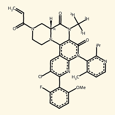 [2H]C([2H])([2H])N1C(=O)[C@H]2CN(C(=O)C=C)CCN2c2c1c(=O)n(-c1c(C)ccnc1C(C)C)c1nc(-c3c(F)cccc3OC)c(Cl)cc21